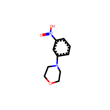 O=[N+](O)c1cccc(N2CCOCC2)c1